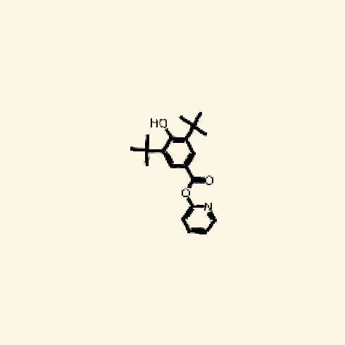 CC(C)(C)c1cc(C(=O)Oc2ccccn2)cc(C(C)(C)C)c1O